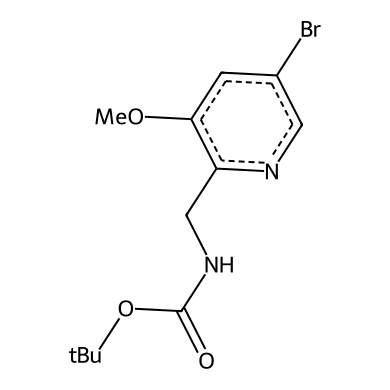 COc1cc(Br)cnc1CNC(=O)OC(C)(C)C